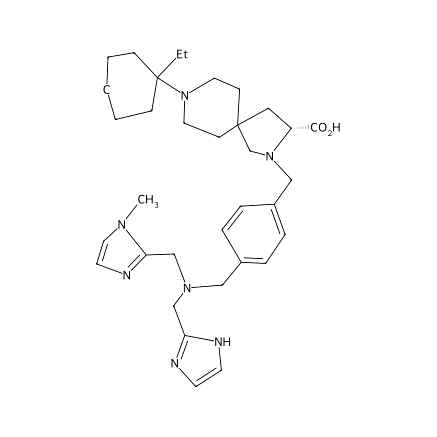 CCC1(N2CCC3(CC2)C[C@H](C(=O)O)N(Cc2ccc(CN(Cc4ncc[nH]4)Cc4nccn4C)cc2)C3)CCCCC1